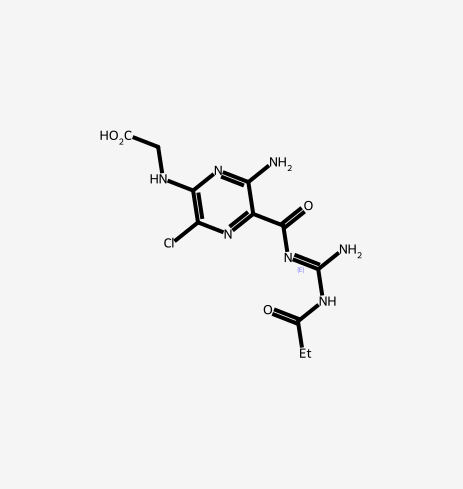 CCC(=O)N/C(N)=N/C(=O)c1nc(Cl)c(NCC(=O)O)nc1N